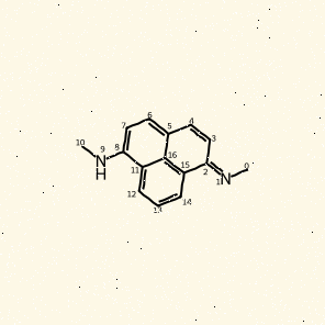 C/N=C1\C=Cc2ccc(NC)c3cccc1c23